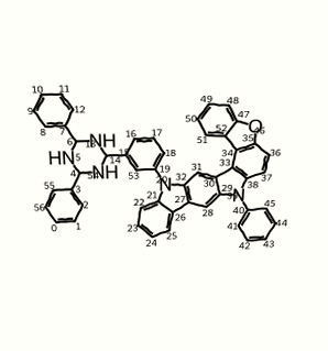 c1ccc(C2NC(c3ccccc3)NC(c3cccc(-n4c5ccccc5c5cc6c(cc54)c4c5c(ccc4n6-c4ccccc4)oc4ccccc45)c3)N2)cc1